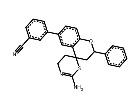 N#Cc1cccc(-c2ccc3c(c2)C2(CCN=C(N)S2)CC(c2ccccc2)O3)c1